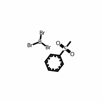 BrB(Br)Br.CS(=O)(=O)c1ccccc1